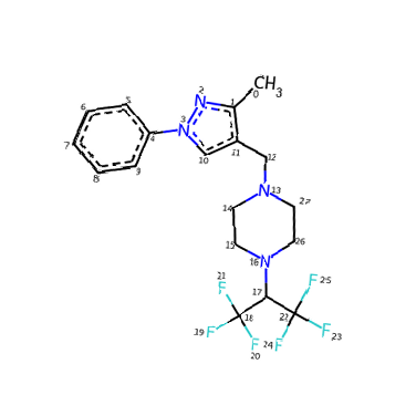 Cc1nn(-c2ccccc2)cc1CN1CCN(C(C(F)(F)F)C(F)(F)F)CC1